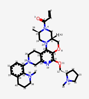 C=CC(=O)N1C[C@@H]2COc3c(OC[C@@H]4CCCN4C)nc4c(c3N2C[C@H]1C)CCN(c1cccc2c1N(C)CCC2)C4